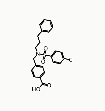 O=C(O)c1ccc(CN(CCCc2ccccc2)S(=O)(=O)c2ccc(Cl)cc2)cc1